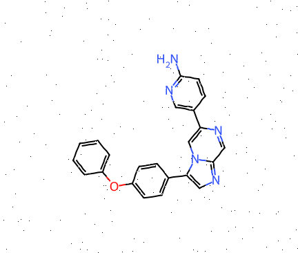 Nc1ccc(-c2cn3c(-c4ccc(Oc5ccccc5)cc4)cnc3cn2)cn1